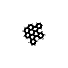 c1ccc2c(c1)c1ccc3ccc4ccc5c6ccccc6c6c7ccccc7c2c2c1c3c4c5c62